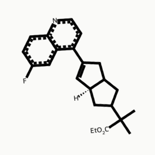 CCOC(=O)C(C)(C)C1CC2CC(c3ccnc4ccc(F)cc34)=C[C@@H]2C1